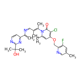 C=C(/N=C\C(C)=C(/C)n1c(C)cc(OCc2ncc(C)cc2F)c(Cl)c1=O)c1ccnc(C(C)(C)O)n1